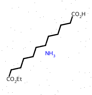 CCOC(=O)CCCCCCCCCCC(=O)O.N